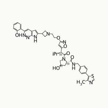 Cc1ncsc1-c1ccc(CNC(=O)[C@@H]2C[C@@H](O)CN2C(=O)[C@H](c2cc(OCCN3CC(c4cc5cc(-c6ccccc6O)nnc5[nH]4)C3)no2)C(C)C)cc1